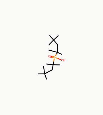 CC(C)(C)CC(C)(C)P(=O)(O)C(C)(C)CC(C)(C)C